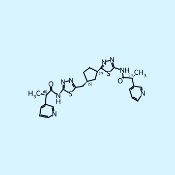 C[C@@H](C(=O)Nc1nnc(C[C@H]2CC[C@@H](c3nnc(NC(=O)[C@H](C)c4cccnc4)s3)C2)s1)c1cccnc1